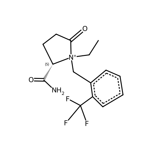 CC[N+]1(Cc2ccccc2C(F)(F)F)C(=O)CC[C@H]1C(N)=O